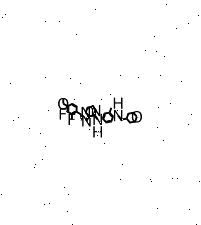 COc1ccc(C2CN=C3C(Nc4ccc(NCC5CCOCC5)c(C)c4)=NC=CN32)c(F)c1F